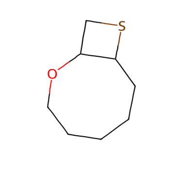 C1CCOC2CSC2CC1